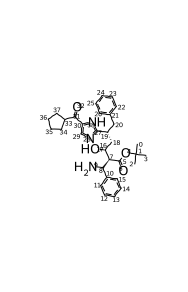 CC(C)(C)OC(=O)[C@@H](C(N)c1ccccc1)[C@@H](O)C[C@@H](Cc1ccccc1)c1ncc(C(=O)C2CCCC2)[nH]1